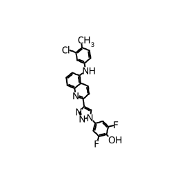 Cc1ccc(Nc2cccc3nc(-c4cn(-c5cc(F)c(O)c(F)c5)nn4)ccc23)cc1Cl